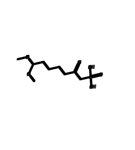 COC(CCCCC(=O)CP(=O)(O)O)OC